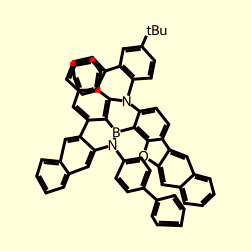 CC(C)(C)c1ccc(N2c3ccc4c(oc5cc6ccccc6cc54)c3B3c4c(cc5ccccc5c42)-c2cc4ccccc4cc2N3c2ccc(-c3ccccc3)cc2)c(-c2ccccc2)c1